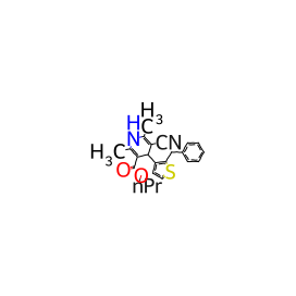 CCCOC(=O)C1=C(C)NC(C)=C(C#N)C1c1ccsc1Cc1ccccc1